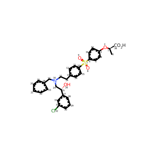 C[C@@H](Oc1ccc(S(=O)(=O)c2ccc(CCN(Cc3ccccc3)C[C@H](O)c3cccc(Cl)c3)cc2)cc1)C(=O)O